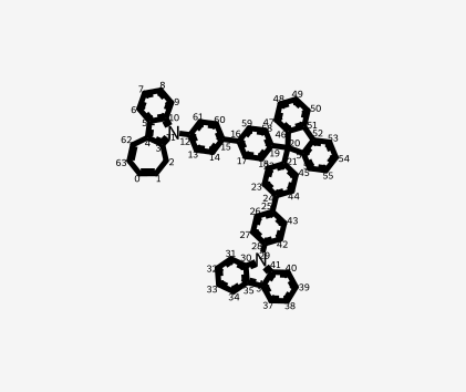 C1=CCc2c(c3ccccc3n2-c2ccc(-c3ccc(C4(c5ccc(-c6ccc(-n7c8ccccc8c8ccccc87)cc6)cc5)c5ccccc5-c5ccccc54)cc3)cc2)C=C1